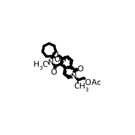 CC(=O)OC[C@@H](C)n1ccc2c(C(=O)N(C)C3(O)CCCCCC3)c(Cl)ccc2c1=O